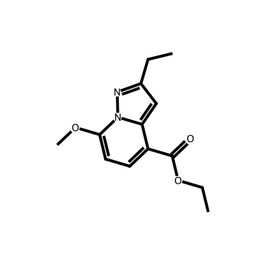 CCOC(=O)c1ccc(OC)n2nc(CC)cc12